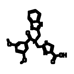 COc1cc(OC)cc(C(=O)N(Cc2nc(C(=O)O)cs2)Cc2nc3ccccc3s2)c1